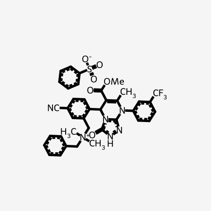 COC(=O)C1=C(C)N(c2cccc(C(F)(F)F)c2)c2n[nH]c(=O)n2C1c1ccc(C#N)cc1C[N+](C)(C)Cc1ccccc1.O=S(=O)([O-])c1ccccc1